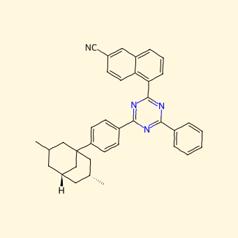 CC1C[C@H]2C[C@@H](C)CC(c3ccc(-c4nc(-c5ccccc5)nc(-c5cccc6cc(C#N)ccc56)n4)cc3)(C1)C2